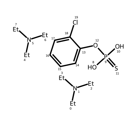 CCN(CC)CC.CCN(CC)CC.OP(O)(=S)Oc1ccccc1Cl